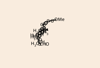 COCCOCCOC1CCN(C(=O)[C@@H]2C[C@@H](C3(C)CC3)[C@H]3C2CC[C@]2(C)[C@@H]3CC[C@@H]3[C@@]4(C)CC[C@H](OC(=O)CC(C)(C)OC=O)C(C)(C)[C@@H]4CC[C@]32C)CC1